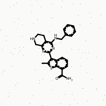 Cc1sc2c(C(N)=O)cccc2c1-c1nc2c(c(NCc3ccccc3)n1)CCNC2